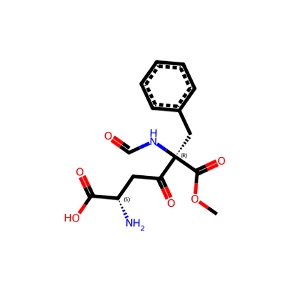 COC(=O)[C@](Cc1ccccc1)(NC=O)C(=O)C[C@H](N)C(=O)O